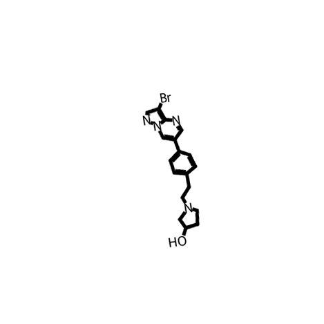 OC1CCN(CCc2ccc(-c3cnc4c(Br)cnn4c3)cc2)C1